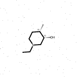 CCN1CC[C@H](C)[C@H](O)C1